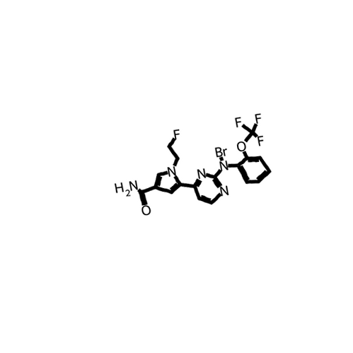 NC(=O)c1cc(-c2ccnc(N(Br)c3ccccc3OC(F)(F)F)n2)n(CCF)c1